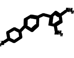 BC1CCC(c2ccc(Cc3cc(N)cc(N)c3)cc2)CC1